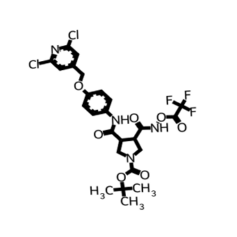 CC(C)(C)OC(=O)N1CC(C(=O)NOC(=O)C(F)(F)F)C(C(=O)Nc2ccc(OCc3cc(Cl)nc(Cl)c3)cc2)C1